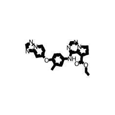 CCOC(=O)c1ccn2ncnc(Nc3ccc(Oc4ccn5ncnc5c4)c(C)c3)c12